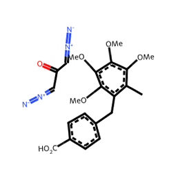 COc1c(C)c(Cc2ccc(C(=O)O)cc2)c(OC)c(OC)c1OC.[N-]=[N+]=CC(=O)C=[N+]=[N-]